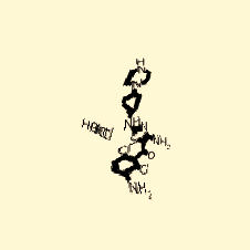 Cl.Cl.Cl.Nc1ccc(Cl)c(C(=O)c2sc(Nc3ccc(N4CCNCC4)cc3)nc2N)c1Cl